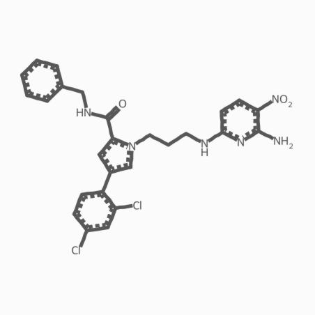 Nc1nc(NCCCn2cc(-c3ccc(Cl)cc3Cl)cc2C(=O)NCc2ccccc2)ccc1[N+](=O)[O-]